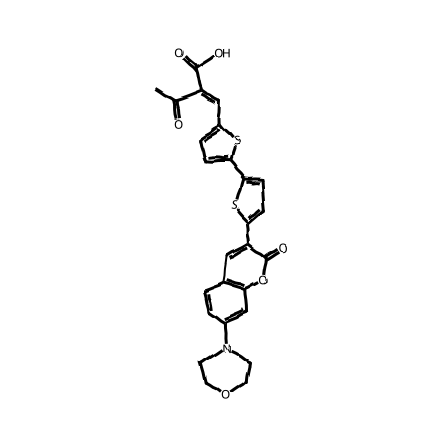 CC(=O)/C(=C\c1ccc(-c2ccc(-c3cc4ccc(N5CCOCC5)cc4oc3=O)s2)s1)C(=O)O